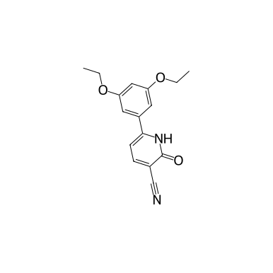 CCOc1cc(OCC)cc(-c2ccc(C#N)c(=O)[nH]2)c1